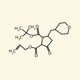 C=CCOC(=O)C1C(=O)CC(CC2CCOCC2)N1C(=O)OC(C)(C)C